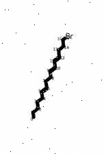 CCCCCC=CCCC=CC=CCCCBr